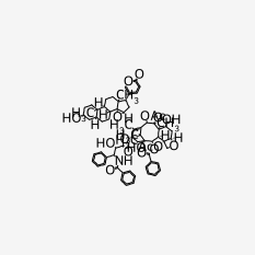 CC(=O)O[C@H]1C(=O)[C@@]2(C)[C@H]([C@H](OC(=O)c3ccccc3)[C@]3(O)C[C@H](OC(=O)[C@H](O)[C@@H](NC(=O)c4ccccc4)c4ccccc4)C(C)=C1C3(C)C)[C@]1(OC(C)=O)CO[C@@H]1C[C@@H]2O.C[C@]12CC[C@H](O)C[C@H]1CC[C@@H]1[C@@H]2CC[C@]2(C)[C@@H](c3ccc(=O)oc3)C[C@H]3O[C@]132